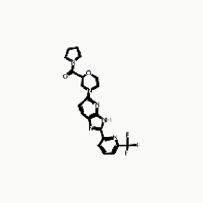 O=C(C1CN(c2ccc3nc(-c4cccc(C(F)(F)F)n4)[nH]c3n2)CCO1)N1CCCC1